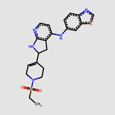 CCS(=O)(=O)N1CC=C(C2Cc3c(Nc4ccc5ncsc5c4)ccnc3N2)CC1